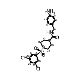 Nc1ccc(CNC(=O)C2CCN(S(=O)(=O)c3cc(Cl)cc(Cl)c3)CC2)cc1